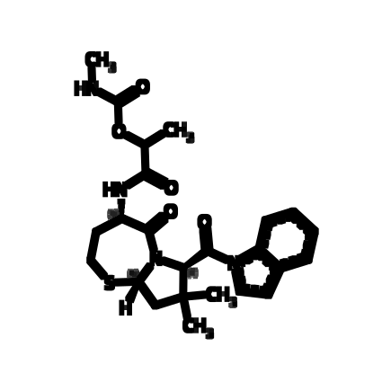 CNC(=O)OC(C)C(=O)N[C@H]1CCS[C@H]2CC(C)(C)[C@H](C(=O)n3ccc4ccccc43)N2C1=O